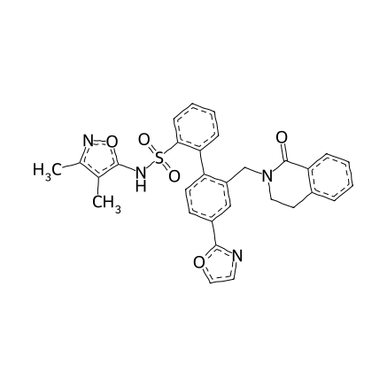 Cc1noc(NS(=O)(=O)c2ccccc2-c2ccc(-c3ncco3)cc2CN2CCc3ccccc3C2=O)c1C